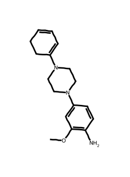 COc1cc(N2CCN(C3=CC=CCC3)CC2)ccc1N